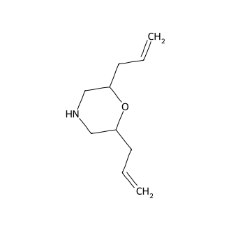 C=CCC1CNCC(CC=C)O1